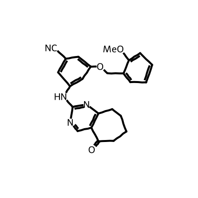 COc1ccccc1COc1cc(C#N)cc(Nc2ncc3c(n2)CCCCC3=O)c1